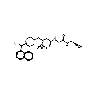 C#CCNC(=O)CNC(=O)CN(CC1CCN(C(C)c2cccc3ccccc23)CC1)[SH](=O)=O